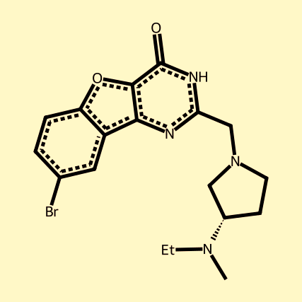 CCN(C)[C@H]1CCN(Cc2nc3c(oc4ccc(Br)cc43)c(=O)[nH]2)C1